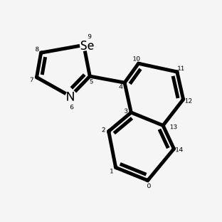 c1ccc2c(-c3ncc[se]3)cccc2c1